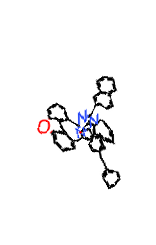 c1ccc(-c2ccc(-c3nc(-c4ccc5ccccc5c4)nc(-c4cccc5oc6cccc(-c7ccc8ccccc8c7)c6c45)n3)cc2)cc1